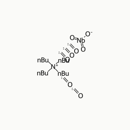 CCCC[N+](CCCC)(CCCC)CCCC.[C]=O.[C]=O.[C]=O.[C]=O.[C]=O.[O]=[Nb](=[O])[O-]